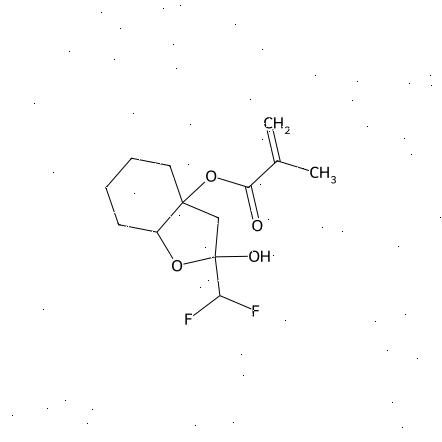 C=C(C)C(=O)OC12CCCCC1OC(O)(C(F)F)C2